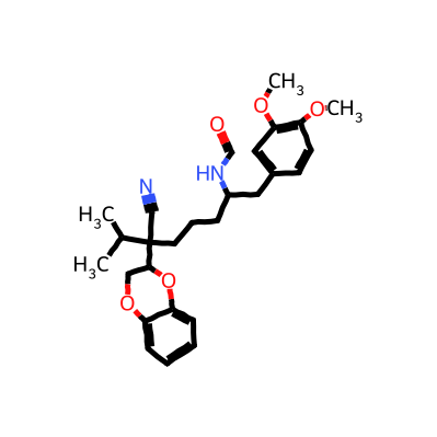 COc1ccc(CC(CCCC(C#N)(C(C)C)C2COc3ccccc3O2)NC=O)cc1OC